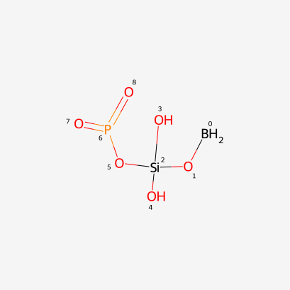 BO[Si](O)(O)OP(=O)=O